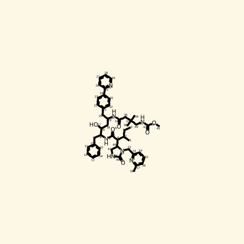 CCC(C)C(C(=O)NC(Cc1ccccc1)C(O)CC(Cc1ccc(-c2ccccn2)cc1)NC(=O)CC(C)(C)CNC(=O)OC)C1CNC(=O)N1Cc1cccc(C)n1